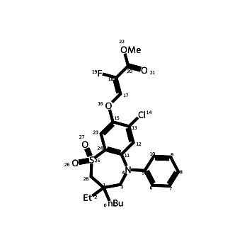 CCCCC1(CC)CN(c2ccccc2)c2cc(Cl)c(O/C=C(\F)C(=O)OC)cc2S(=O)(=O)C1